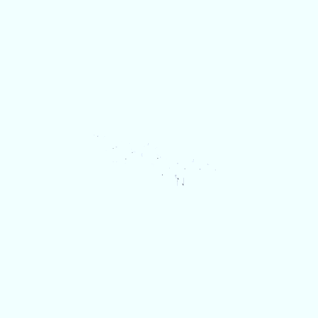 CCCCCCCC1(C#N)CCC2CC(C3CCC(CCC)CC3)CCC2C1